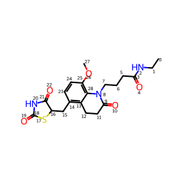 CCNC(=O)CCCN1C(=O)CCc2c(CC3SC(=O)NC3=O)ccc(OC)c21